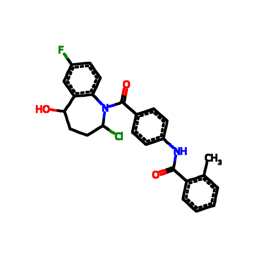 Cc1ccccc1C(=O)Nc1ccc(C(=O)N2c3ccc(F)cc3C(O)CCC2Cl)cc1